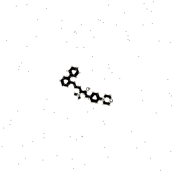 CN(C)C(CCCc1ccccc1-c1ccccc1)C(=O)Cc1ccc(N2CCOCC2)cc1